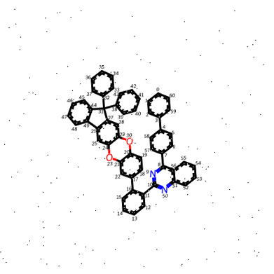 c1ccc(-c2ccc(-c3nc(-c4ccccc4-c4ccc5c(c4)Oc4cc6c(cc4O5)C(c4ccccc4)(c4ccccc4)c4ccccc4-6)nc4ccccc34)cc2)cc1